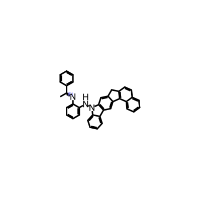 C/C(=N\c1ccccc1Nn1c2ccccc2c2cc3c(cc21)Cc1ccc2ccccc2c1-3)c1ccccc1